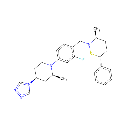 C[C@H]1CC[C@H](c2ccccc2)SN1Cc1ccc(N2CC[C@H](n3cnnc3)C[C@@H]2C)cc1F